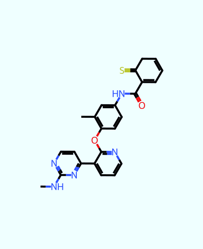 CNc1nccc(-c2cccnc2Oc2ccc(NC(=O)C3=CC=CCC3=S)cc2C)n1